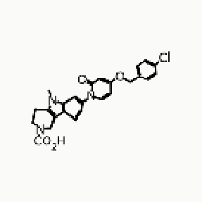 Cn1c2c(c3ccc(-n4ccc(OCc5ccc(Cl)cc5)cc4=O)cc31)CN(C(=O)O)CC2